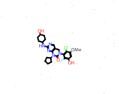 COc1cc(O)c(F)c(N2Cc3cnc(NC4CCC(O)CC4)nc3N(C3CCCC3)C2=O)c1Cl